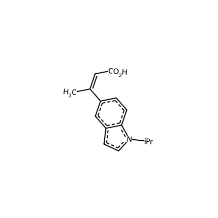 C/C(=C/C(=O)O)c1ccc2c(ccn2C(C)C)c1